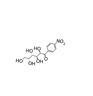 O=C(c1ccc([N+](=O)[O-])cc1)[C@H](O)[C@@H](O)[C@@H](O)[C@H](O)CO